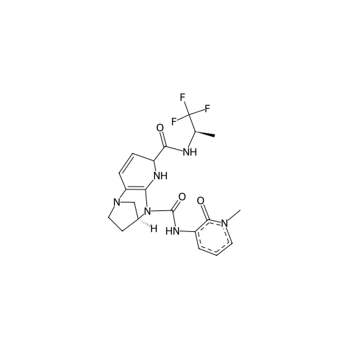 C[C@@H](NC(=O)C1C=CC2=C(N1)N(C(=O)Nc1cccn(C)c1=O)[C@H]1CCN2C1)C(F)(F)F